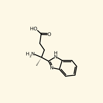 C[C@](N)(CCC(=O)O)c1nc2ccccc2[nH]1